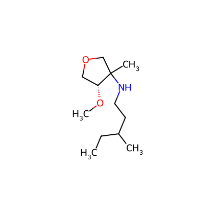 CCC(C)CCNC1(C)COC[C@H]1OC